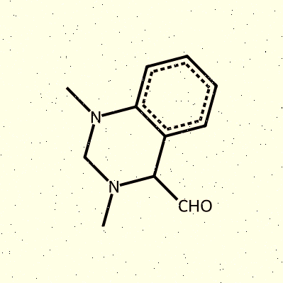 CN1CN(C)C(C=O)c2ccccc21